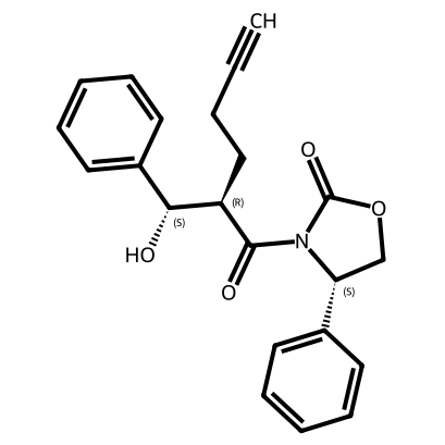 C#CCC[C@@H](C(=O)N1C(=O)OC[C@@H]1c1ccccc1)[C@H](O)c1ccccc1